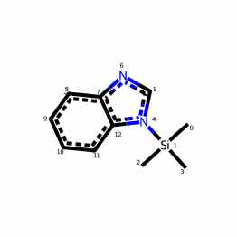 C[Si](C)(C)n1cnc2[c]cccc21